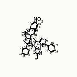 Cc1nnc(NC(C[C@@]2(C(Cc3ccc([N+](=O)[O-])cc3)NS(=O)(=O)O)N=C(c3ccccc3)SC2C)c2csc(-c3ccccc3)n2)s1